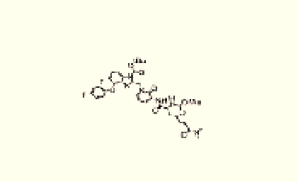 COC(=O)NC(CC/C=C/C(=O)N(C)C)C(=O)Nc1cccn(Cc2nc3c(Oc4ccc(F)cc4F)cccc3n2C(=O)OC(C)(C)C)c1=O